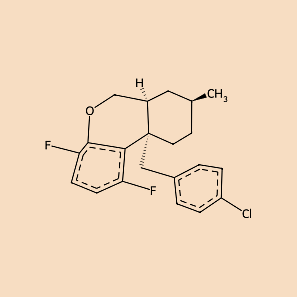 C[C@H]1CC[C@@]2(Cc3ccc(Cl)cc3)c3c(F)ccc(F)c3OC[C@H]2C1